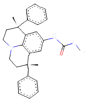 CC(C)(C)NC(=O)Nc1cc2c3c(c1)[C@@](C)(c1ccccc1)CCN3CC[C@@]2(C)c1ccccc1